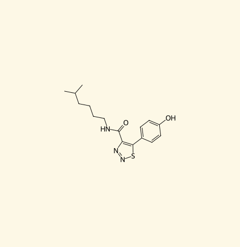 CC(C)CCCCNC(=O)c1nnsc1-c1ccc(O)cc1